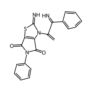 C=C(C(=N)c1ccccc1)n1c2c(sc1=N)C(=O)N(c1ccccc1)C2=O